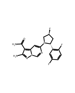 NC(=O)c1c(N)nn2cnc(N3C[C@@H](F)C[C@@H]3c3cc(F)ccc3F)cc12